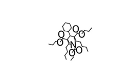 CCCCC1=C(C(=O)OCCC)C(C2CCCCC2)C(C(=O)OCCC)=C(CCCC)N1C(=O)OCC